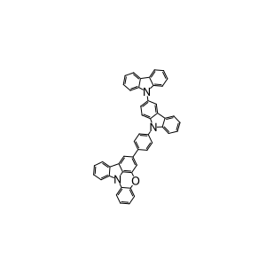 c1ccc2c(c1)Oc1cc(-c3ccc(-n4c5ccccc5c5cc(-n6c7ccccc7c7ccccc76)ccc54)cc3)cc3c4ccccc4n-2c13